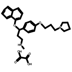 CNCCC(Oc1cccc2ccccc12)c1ccc(OCCCN2CCCC2)cc1.O=C(O)C(=O)O